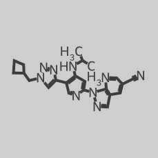 CC(C)Nc1cc(-n2ncc3cc(C#N)cnc32)ncc1-c1cn(CC2CCC2)nn1